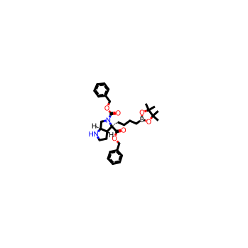 CC1(C)OB(CCCC[C@]2(C(=O)OCc3ccccc3)[C@H]3CCN[C@H]3CN2C(=O)OCc2ccccc2)OC1(C)C